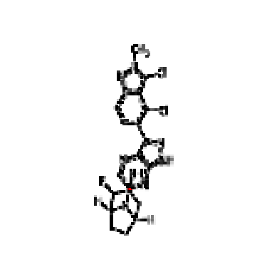 Cn1nc2ccc(-c3n[nH]c4nc(N5[C@H]6CC[C@@H]5[C@@H](F)[C@@H](N)C6)cnc34)c(Cl)c2c1Cl